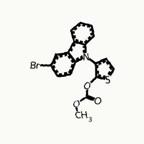 COC(=O)Oc1sccc1-n1c2ccccc2c2cc(Br)ccc21